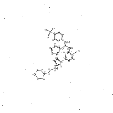 O=C(Nc1ccc(C(F)(F)F)cc1)Nc1cc(-c2sc(NCCN3CCOCC3)nc2-c2ccncc2)ccc1F